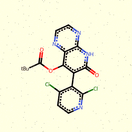 CC(C)(C)C(=O)Oc1c(-c2c(Cl)ccnc2Cl)c(=O)[nH]c2nccnc12